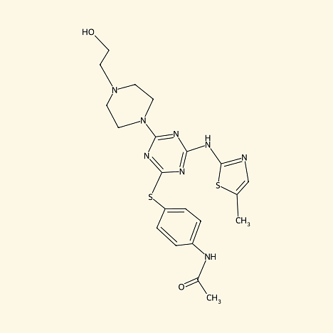 CC(=O)Nc1ccc(Sc2nc(Nc3ncc(C)s3)nc(N3CCN(CCO)CC3)n2)cc1